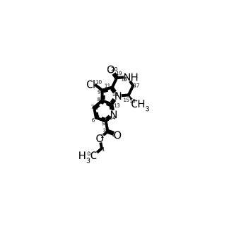 CCOC(=O)c1ccc2c(Cl)c3n(c2n1)[C@H](C)CNC3=O